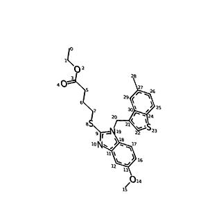 CCOC(=O)CCCSc1nc2cc(OC)ccc2n1Cc1csc2ccc(C)cc12